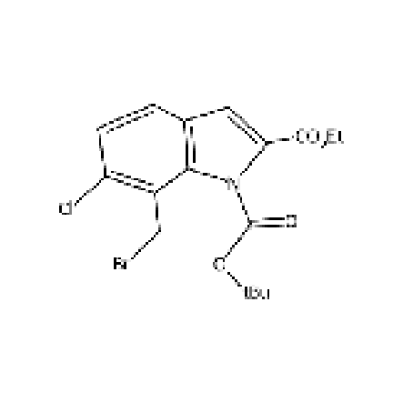 CCOC(=O)c1cc2ccc(Cl)c(CBr)c2n1C(=O)OC(C)(C)C